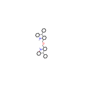 CN(C)c1c(COCc2cccc(C(c3ccccc3)c3ccccc3)c2N(C)C)cccc1C(c1ccccc1)c1ccccc1